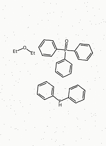 CCOCC.O=P(c1ccccc1)(c1ccccc1)c1ccccc1.c1ccc(Pc2ccccc2)cc1